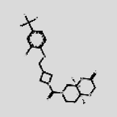 O=C1CO[C@H]2CCN(C(=O)N3CC(CSc4ccc(C(F)(F)F)cc4Cl)C3)C[C@H]2N1